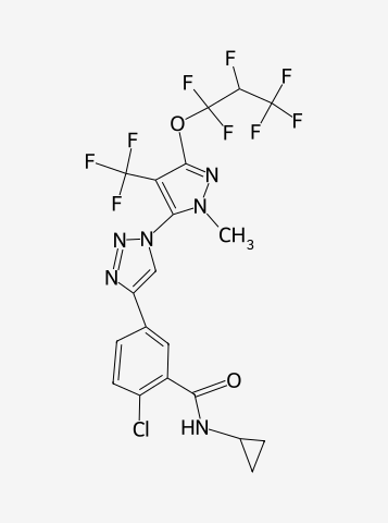 Cn1nc(OC(F)(F)C(F)C(F)(F)F)c(C(F)(F)F)c1-n1cc(-c2ccc(Cl)c(C(=O)NC3CC3)c2)nn1